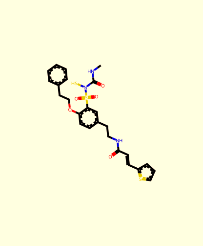 CNC(=O)N(S)S(=O)(=O)c1cc(CCNC(=O)/C=C/c2cccs2)ccc1OCCc1ccccc1